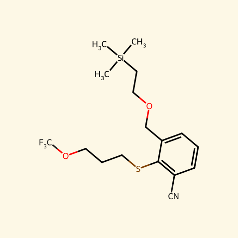 C[Si](C)(C)CCOCc1cccc(C#N)c1SCCCOC(F)(F)F